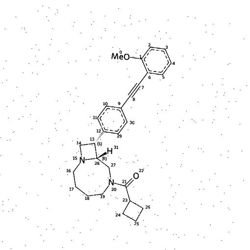 COc1ccccc1C#Cc1ccc([C@H]2CN3CCCCN(C(=O)C4CCC4)C[C@@H]23)cc1